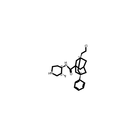 O=C(N[C@@H]1CCNC[C@H]1F)C12CC3C[C@@](CCCl)(C1)C[C@](c1ccccc1)(C3)C2